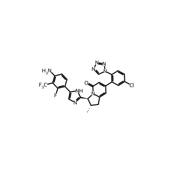 C[C@H]1Cc2cc(-c3cc(Cl)ccc3-n3cnnn3)cc(=O)n2[C@@H]1c1ncc(-c2ccc(N)c(C(F)(F)F)c2F)[nH]1